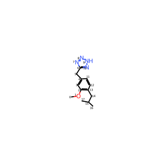 COc1cc(Cc2nn[nH]n2)ccc1CC(C)C